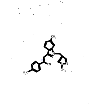 Cc1ccc(/C(C#N)=C/c2cn(Cc3cnn(C)c3)c3cc(C)ccc23)cc1